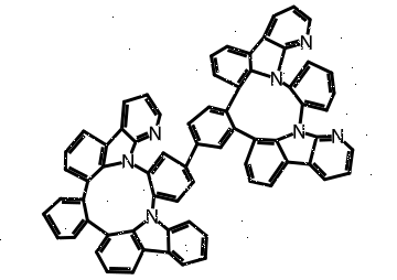 c1ccc2c(c1)c1cccc3c4ccccc4n(c4ccc(-c5ccc6c(c5)c5cccc7c8cccnc8n(c8ccccc8n8c9ncccc9c9cccc6c98)c57)cc4n4c5ncccc5c5cccc2c54)c13